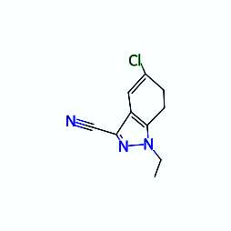 CCn1nc(C#N)c2c1CCC(Cl)=C2